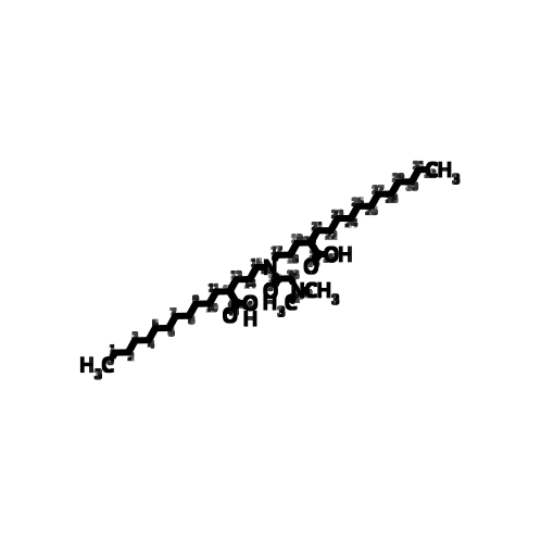 CCCCCCCCCCCCC(CCCN(CCCC(CCCCCCCCCCCC)C(=O)O)C(=O)CN(C)C)C(=O)O